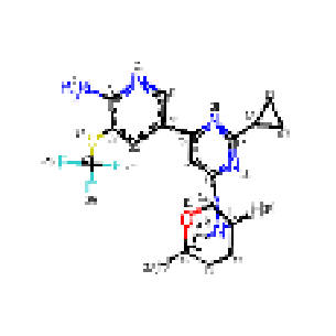 Nc1ncc(-c2cc(N3C[C@@H]4CC[C@H]3CO4)nc(C3CC3)n2)cc1SC(F)(F)F